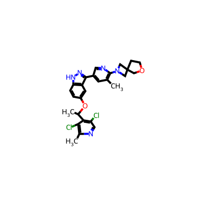 Cc1cc(-c2n[nH]c3ccc(OC(C)c4c(Cl)cnc(C)c4Cl)cc23)cnc1N1CC2(CCOC2)C1